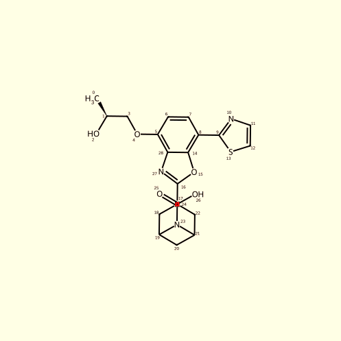 C[C@H](O)COc1ccc(-c2nccs2)c2oc(N3CC4CC(C3)N4C(=O)O)nc12